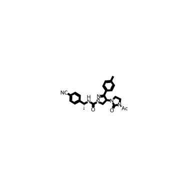 CC(=O)N1CCN(C2CN(C(=O)N[C@H](C)c3ccc(C#N)cc3)N=C2c2ccc(C)cc2)C1=O